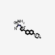 CN1CCN(c2ccc3cc(-c4ccc(/C=C(\C#N)[S+](N)[O-])n4C)ccc3c2)CC1